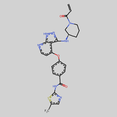 C=CC(=O)N1CCC[C@@H](Nc2n[nH]c3nccc(Oc4ccc(C(=O)Nc5ncc(C(F)(F)F)s5)cc4)c23)C1